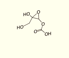 O=C(O)OC1OC1(O)CO